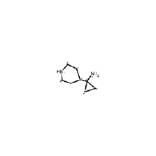 NC1(C2CCNCC2)CC1